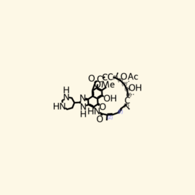 COc1c(C)c(O)c2c3c1C(=O)CCC[C@@H](C)[C@@H](OC(C)=O)[C@H](C)[C@H](O)[C@H](C)C[C@@H](C)/C=C/C=C(/C)C(=O)NC(=C1NC(C4CCNCNC4)N=C13)C2=O